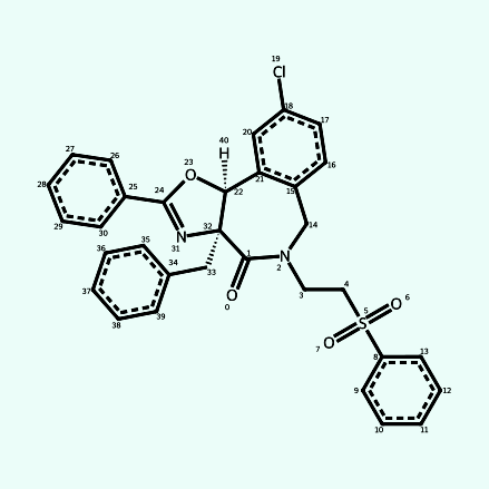 O=C1N(CCS(=O)(=O)c2ccccc2)Cc2ccc(Cl)cc2[C@@H]2OC(c3ccccc3)=N[C@]12Cc1ccccc1